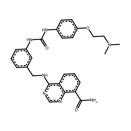 CN(C)CCOc1ccc(NC(=O)Nc2cccc(CNc3ncnc4c(C(N)=O)cccc34)c2)cc1